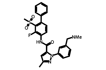 CNCc1cccc(-n2nc(C)cc2C(=O)Nc2ccc(-c3ccccc3)c(S(C)(=O)=O)c2F)c1